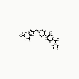 CCn1c(=O)[nH]c2cc(CN3CCN(c4ccc(C(=O)N5CCCC5)nc4C)CC3)sc2c1=O